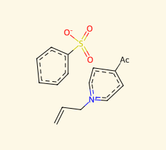 C=CC[n+]1ccc(C(C)=O)cc1.O=S(=O)([O-])c1ccccc1